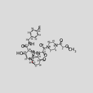 COCC(=O)N1CCN(C(=O)C(=O)NC23CCC(CC2=O)CN2C=C(O)C(C(=O)NCc4ccc(F)cc4)N=C23)CC1